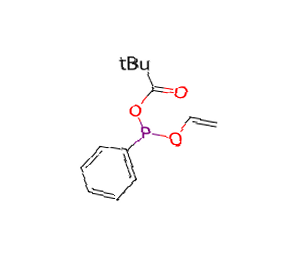 C=COP(OC(=O)C(C)(C)C)c1ccccc1